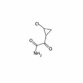 NC(=O)C(=O)C1CC1Cl